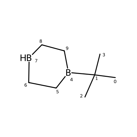 CC(C)(C)B1CCBCC1